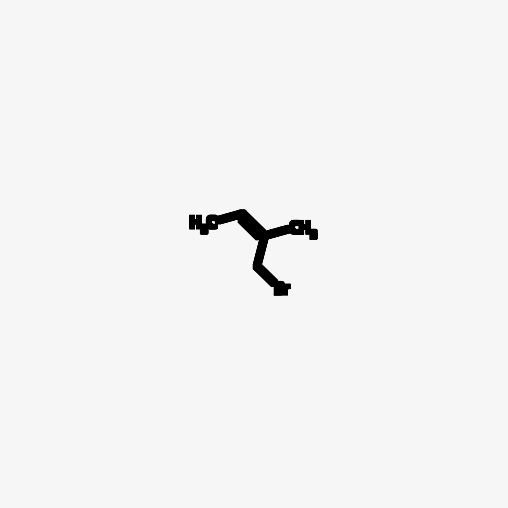 CC=C(C)CBr